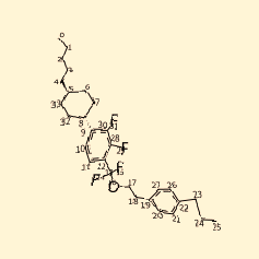 CCCCC[C@H]1CC[C@H](c2ccc(C(F)(F)OCCc3ccc(CCC)cc3)c(F)c2F)CC1